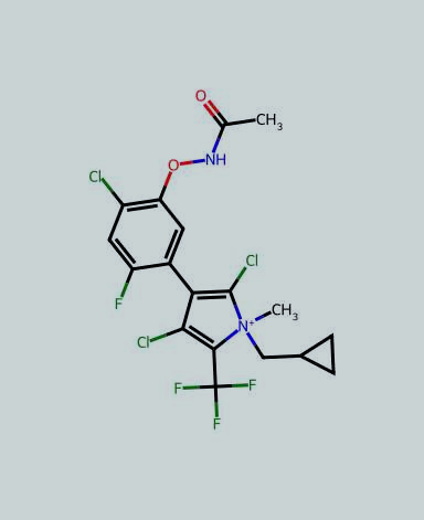 CC(=O)NOc1cc(C2=C(Cl)[N+](C)(CC3CC3)C(C(F)(F)F)=C2Cl)c(F)cc1Cl